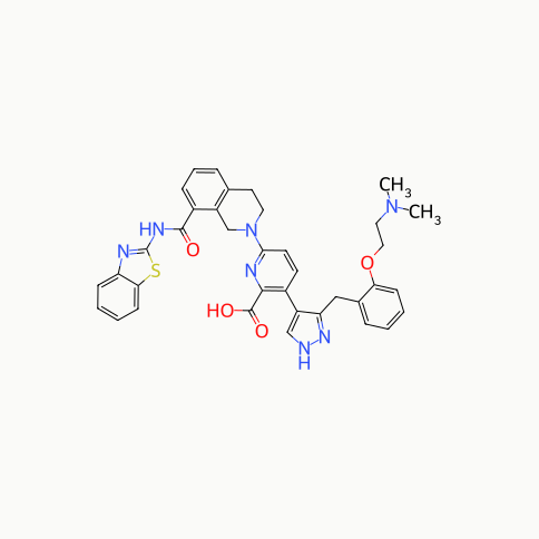 CN(C)CCOc1ccccc1Cc1n[nH]cc1-c1ccc(N2CCc3cccc(C(=O)Nc4nc5ccccc5s4)c3C2)nc1C(=O)O